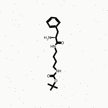 CC(C)(C)OC(=O)NCCCCNC(=O)[C@@H](N)Cc1ccccc1